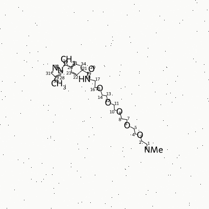 CNCCOCCOCCOCCOCCOCCNC(=O)c1ccc(C(C)n2cc(C)cn2)cc1